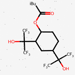 CCC(C)C(=O)OC1CCC(C(O)(C(F)(F)F)C(F)(F)F)CC1C(O)(C(F)(F)F)C(F)(F)F